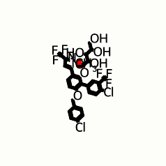 Cn1nc(C(F)(F)F)cc1-c1ccc(OCc2ccc(Cl)cc2)c(-c2ccc(Cl)c(C(F)(F)F)c2)c1OC(=O)C(O)C(O)C(O)CO